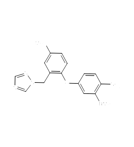 CNc1cc(Oc2ccc(OC)cc2Cn2cncn2)ccc1[N+](=O)[O-]